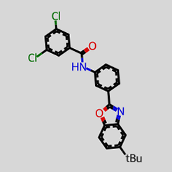 CC(C)(C)c1ccc2oc(-c3cccc(NC(=O)c4cc(Cl)cc(Cl)c4)c3)nc2c1